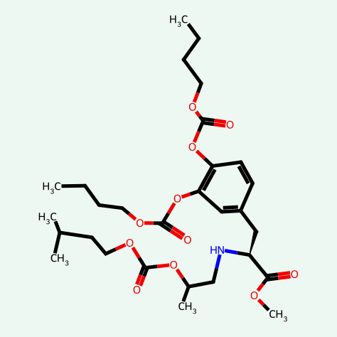 CCCCOC(=O)Oc1ccc(C[C@H](NCC(C)OC(=O)OCCC(C)C)C(=O)OC)cc1OC(=O)OCCCC